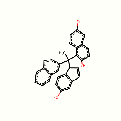 CC(c1ccc2ccccc2c1)(c1c(O)ccc2cc(O)ccc12)C1C=Cc2cc(O)ccc21